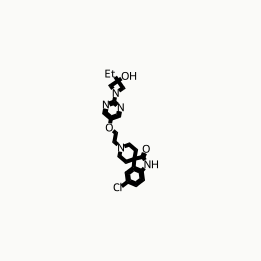 CCC1(O)CN(c2ncc(OCCN3CCC4(CC3)C(=O)Nc3ccc(Cl)cc34)cn2)C1